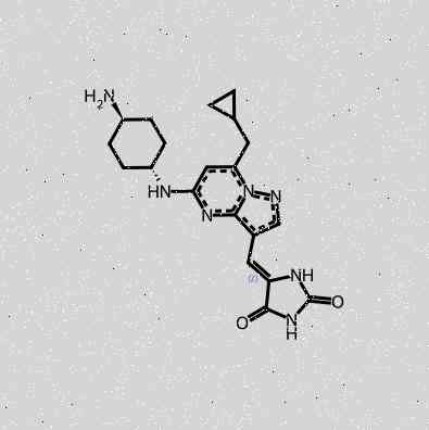 N[C@H]1CC[C@H](Nc2cc(CC3CC3)n3ncc(/C=C4\NC(=O)NC4=O)c3n2)CC1